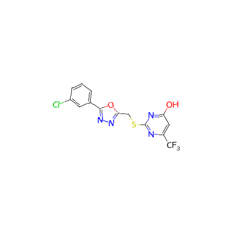 Oc1cc(C(F)(F)F)nc(SCc2nnc(-c3cccc(Cl)c3)o2)n1